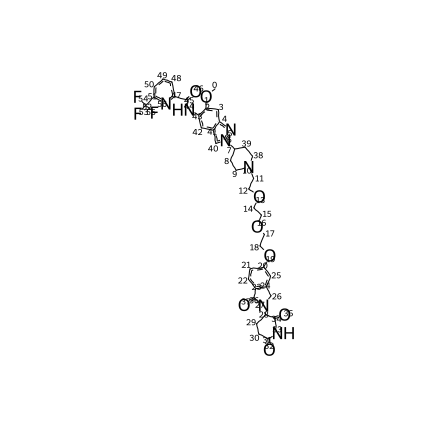 COc1cc2nn(C3CCN(CCOCCOCCOc4ccc5c(c4)CN(C4CCC(=O)NC4=O)C5=O)CC3)cc2cc1NC(=O)c1cccc(C(F)(F)F)n1